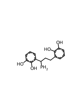 Oc1cccc(CCC(P)c2cccc(O)c2O)c1O